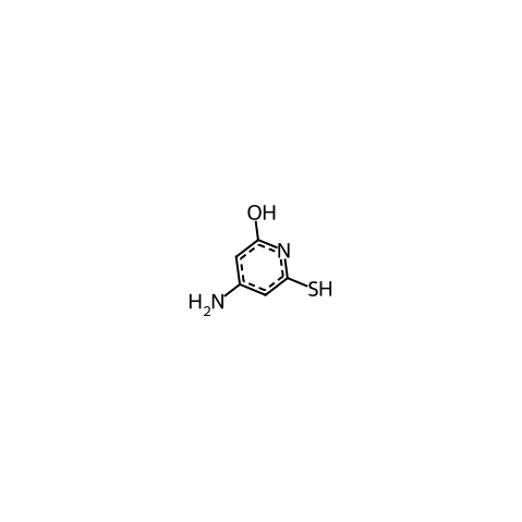 Nc1cc(O)nc(S)c1